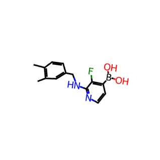 Cc1ccc(CNc2nccc(B(O)O)c2F)cc1C